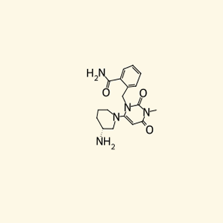 Cn1c(=O)cc(N2CCC[C@@H](N)C2)n(Cc2ccccc2C(N)=O)c1=O